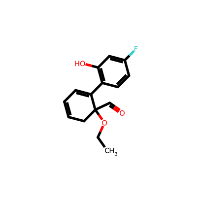 CCOC1(C=O)CC=CC=C1c1ccc(F)cc1O